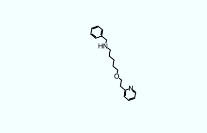 c1ccc(CNCCCCCOCCc2ccccn2)cc1